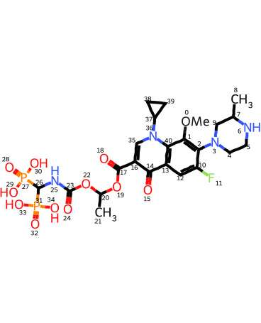 COc1c(N2CCNC(C)C2)c(F)cc2c(=O)c(C(=O)OC(C)OC(=O)NC(P(=O)(O)O)P(=O)(O)O)cn(C3CC3)c12